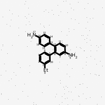 CCc1cccc(-c2cc(N)ccc2-c2ccc(N)cc2)c1